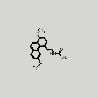 COc1ccc2ccc3c(c2c1)C(CCNC(C)=O)CCC3OC